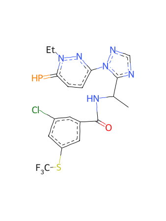 CCn1nc(-n2ncnc2C(C)NC(=O)c2cc(Cl)cc(SC(F)(F)F)c2)ccc1=P